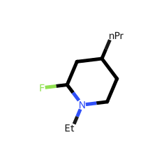 CCCC1CCN(CC)C(F)C1